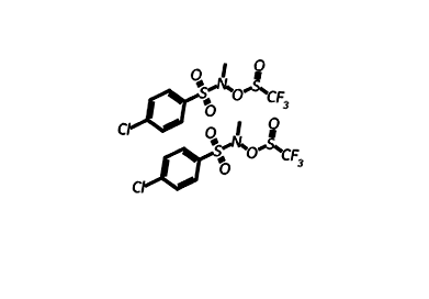 CN(OS(=O)C(F)(F)F)S(=O)(=O)c1ccc(Cl)cc1.CN(OS(=O)C(F)(F)F)S(=O)(=O)c1ccc(Cl)cc1